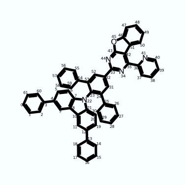 c1ccc(-c2ccc3c(c2)c2cc(-c4ccccc4)ccc2n3-c2c(-c3ccccc3)cc(-c3nc(-c4ccccn4)c4c(n3)oc3ccccc34)cc2-c2ccccc2)cc1